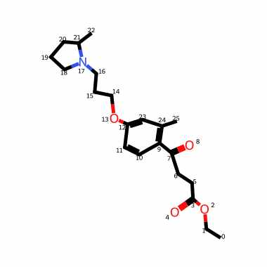 CCOC(=O)CCC(=O)c1ccc(OCCCN2CCCC2C)cc1C